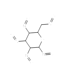 O=NCC1OC(N=O)C(N=O)C(N=O)C1N=O